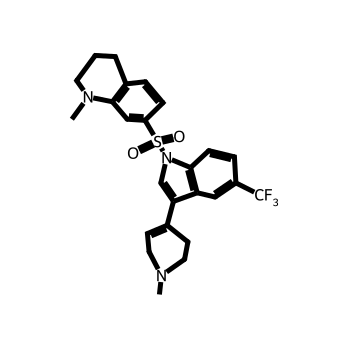 CN1CC=C(c2cn(S(=O)(=O)c3ccc4c(c3)N(C)CCC4)c3ccc(C(F)(F)F)cc23)CC1